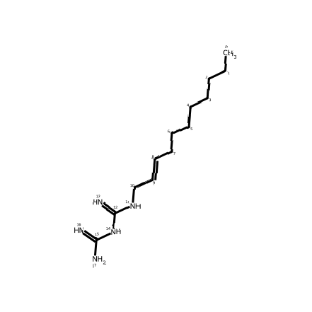 CCCCCCCCC=CCNC(=N)NC(=N)N